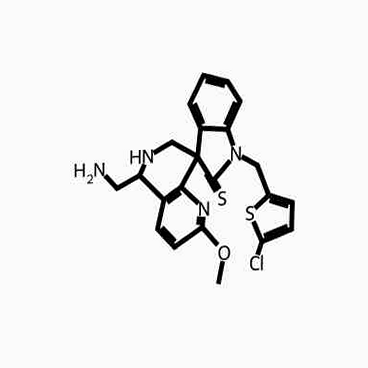 COc1ccc2c(n1)C1(CNC2CN)C(=S)N(Cc2ccc(Cl)s2)c2ccccc21